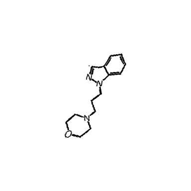 [c]1nn(CCCN2CCOCC2)c2ccccc12